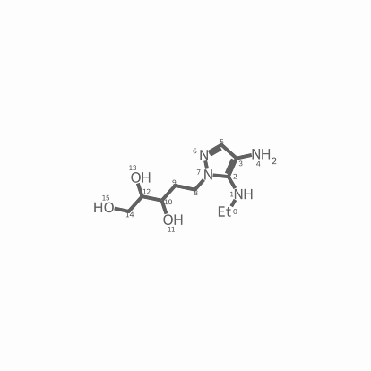 CCNc1c(N)cnn1CCC(O)C(O)CO